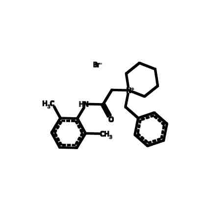 Cc1cccc(C)c1NC(=O)C[N+]1(Cc2ccccc2)CCCCC1.[Br-]